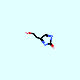 O=C1N=CC(CCO)=N1